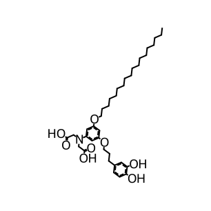 CCCCCCCCCCCCCCCCCCOc1cc(OCCCc2ccc(O)c(O)c2)cc(N(CC(=O)O)CC(=O)O)c1